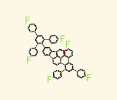 Fc1ccc(-c2cc(-c3ccc(F)cc3)c(-c3ccc4c(c3)-c3cccc5c(-c6c(-c7ccc(F)cc7)cc(-c7ccc(F)cc7)cc6-c6ccc(F)cc6)ccc-4c35)c(-c3ccc(F)cc3)c2)cc1